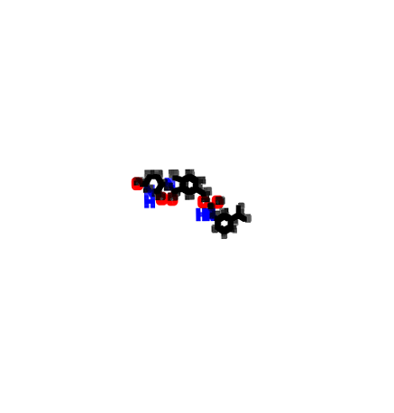 CC(C)c1cccc(NC(=O)OCc2ccc3c(c2)C(=O)N(C2CCC(=O)NC2=O)C3)c1